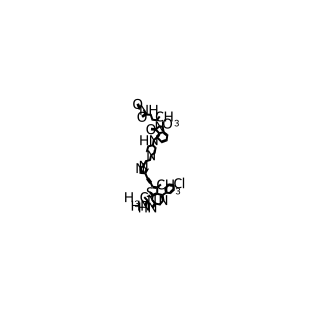 CC(=N)N1C(=N)CN=C(c2ccc(Cl)cc2)c2c1sc(C#Cc1cnn(CCN3CCC(Nc4cccc5c4C(=O)N(C(C)CCC(=O)NC=O)C5=O)CC3)c1)c2C